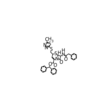 Cc1nnc(SCC2C=C(C(=O)OC(c3ccccc3)c3ccccc3)N3C(=O)C(NC(=O)Cc4ccccc4)[C@@H]3S2)s1